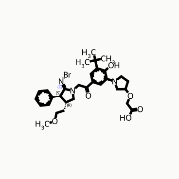 COCC[C@H]1CN(CC(=O)c2cc(N3CCC(OCC(=O)O)C3)c(O)c(C(C)(C)C)c2)/C(=N\Br)[C@@H]1c1ccccc1